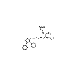 COCCOC(C)C(CCCCCCn1cnc(-c2ccccc2)c1-c1ccccc1)C(=O)O